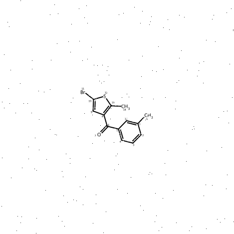 Cc1cccc(C(=O)c2cc(Br)sc2C)c1